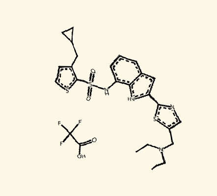 CCN(CC)Cc1cnc(-c2cc3cccc(NS(=O)(=O)c4sccc4CC4CC4)c3[nH]2)s1.O=C(O)C(F)(F)F